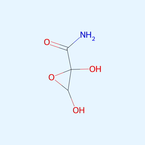 NC(=O)C1(O)OC1O